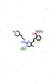 CNC(=O)c1cccc2sc(-c3nc(NCCCC4CCN(C)CC4)ncc3C)cc12.Cl.Cl